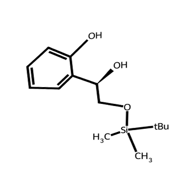 CC(C)(C)[Si](C)(C)OC[C@H](O)c1ccccc1O